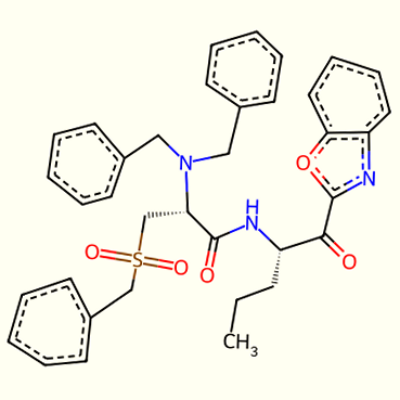 CCC[C@H](NC(=O)[C@H](CS(=O)(=O)Cc1ccccc1)N(Cc1ccccc1)Cc1ccccc1)C(=O)c1nc2ccccc2o1